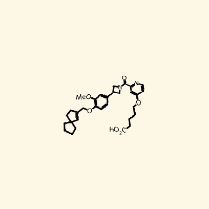 COc1cc(C2CN(C(=O)c3cc(OCCCCC(=O)O)ccn3)C2)ccc1OCC1=CC2(CCCC2)CC1